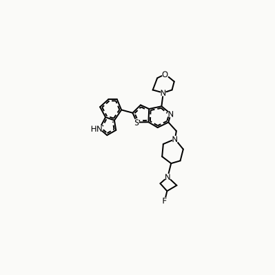 FC1CN(C2CCN(Cc3cc4sc(-c5cccc6[nH]ccc56)cc4c(N4CCOCC4)n3)CC2)C1